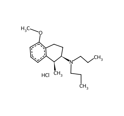 CCCN(CCC)[C@@H]1CCc2c(OC)cccc2[C@@H]1C.Cl